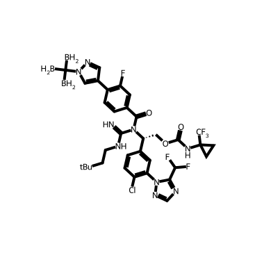 BC(B)(B)n1cc(-c2ccc(C(=O)N(C(=N)NCCC(C)(C)C)[C@H](COC(=O)NC3(C(F)(F)F)CC3)c3ccc(Cl)c(-n4ncnc4C(F)F)c3)cc2F)cn1